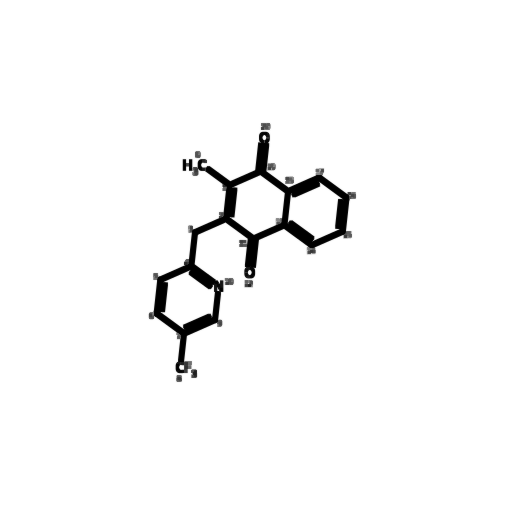 CC1=C(Cc2ccc(C(F)(F)F)cn2)C(=O)c2ccccc2C1=O